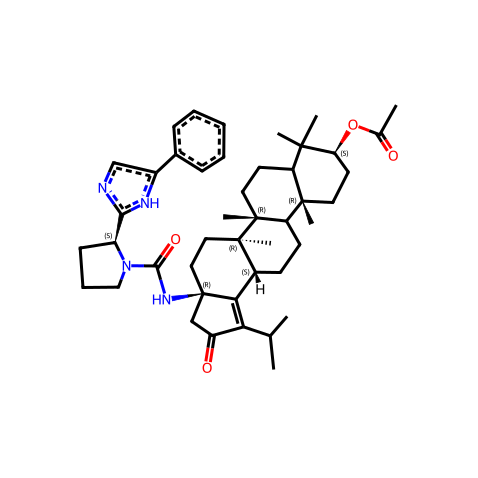 CC(=O)O[C@H]1CC[C@@]2(C)C(CC[C@]3(C)C2CC[C@@H]2C4=C(C(C)C)C(=O)C[C@]4(NC(=O)N4CCC[C@H]4c4ncc(-c5ccccc5)[nH]4)CC[C@]23C)C1(C)C